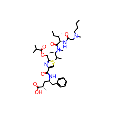 CCCCN(C)CC(=O)N[C@H](C(=O)N(C)[C@H](C[C@@H](OC(=O)C(C)C)c1nc(C(=O)N[C@@H](Cc2ccccc2)C[C@H](C)C(=O)O)cs1)C(C)C)[C@@H](C)CC